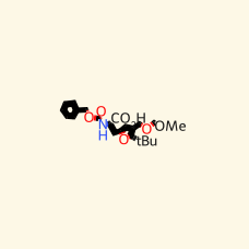 COCOCc1cc(/C=C(/NC(=O)OCc2ccccc2)C(=O)O)oc1C(C)(C)C